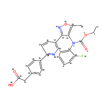 CCOC(=O)N(c1ccccc1F)c1c(-c2ccc(-c3ccc(CC(=O)O)cc3)nc2)noc1C